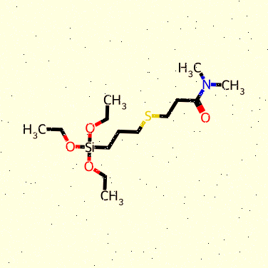 CCO[Si](CCCSCCC(=O)N(C)C)(OCC)OCC